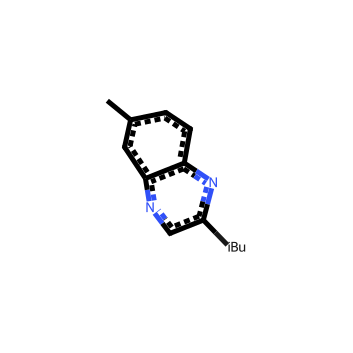 CCC(C)c1cnc2cc(C)ccc2n1